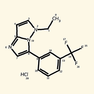 CCn1ccc2ncc(-c3cccc(C(F)(F)F)c3)n21.Cl